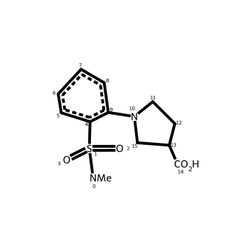 CNS(=O)(=O)c1ccccc1N1CCC(C(=O)O)C1